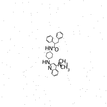 CN(C)c1cc(N[C@H]2CC[C@@H](NC(=O)C(Cc3ccccc3)c3ccccc3)CC2)nc2ccccc12